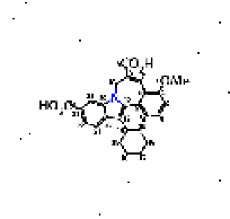 COc1cccc2c1C=C(C(=O)O)Cn1c-2c(C2CCCCC2)c2ccc(C(=O)O)cc21